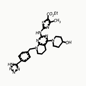 CCOC(=O)c1sc(Nc2nc(N3CCC(O)CC3)c3c(n2)N(Cc2ccc(-c4nnn[nH]4)cc2)CCC3)nc1C